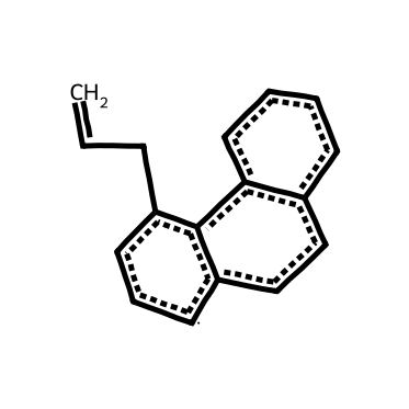 C=CCc1cc[c]c2ccc3ccccc3c12